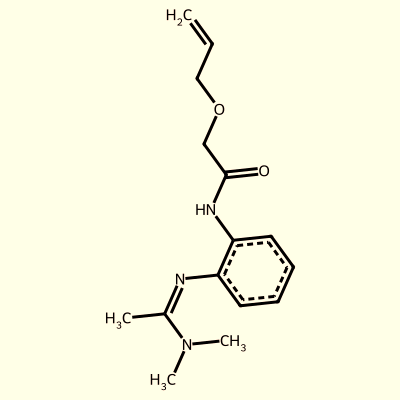 C=CCOCC(=O)Nc1ccccc1N=C(C)N(C)C